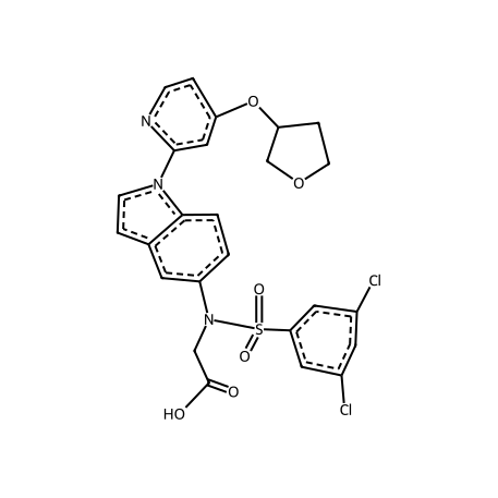 O=C(O)CN(c1ccc2c(ccn2-c2cc(OC3CCOC3)ccn2)c1)S(=O)(=O)c1cc(Cl)cc(Cl)c1